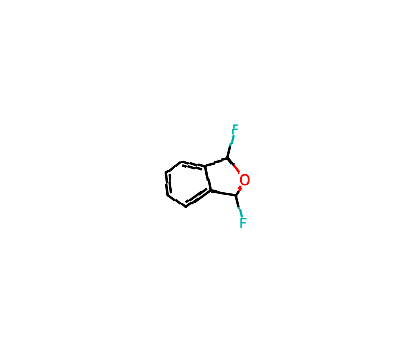 FC1OC(F)c2ccccc21